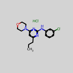 CCCc1cc(N2CCOCC2)nc(Nc2cccc(Cl)c2)n1.Cl